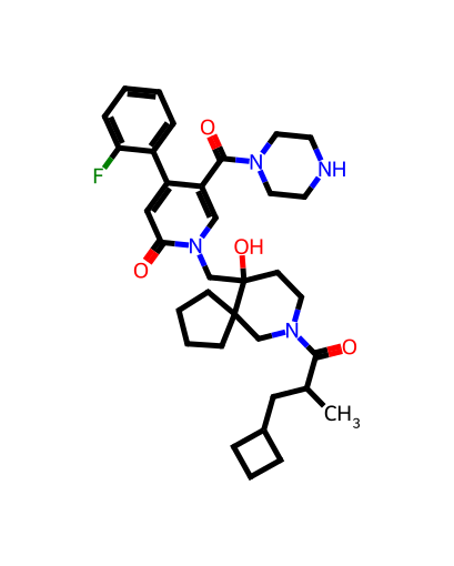 CC(CC1CCC1)C(=O)N1CCC(O)(Cn2cc(C(=O)N3CCNCC3)c(-c3ccccc3F)cc2=O)C2(CCCC2)C1